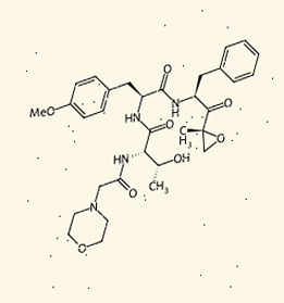 COc1ccc(C[C@H](NC(=O)[C@@H](NC(=O)CN2CCOCC2)[C@@H](C)O)C(=O)N[C@@H](Cc2ccccc2)C(=O)[C@@]2(C)CO2)cc1